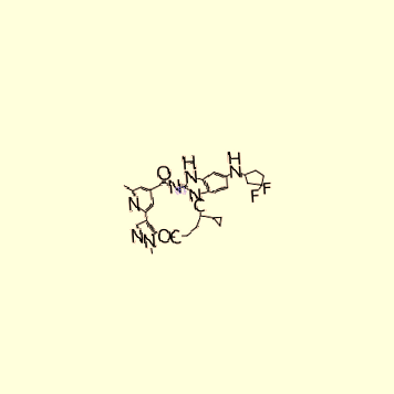 Cc1cc2cc(n1)-c1cnn(C)c1OCCCC(C1CC1)CN1/C(=N/C2=O)Nc2cc(NC3CCC(F)(F)C3)ccc21